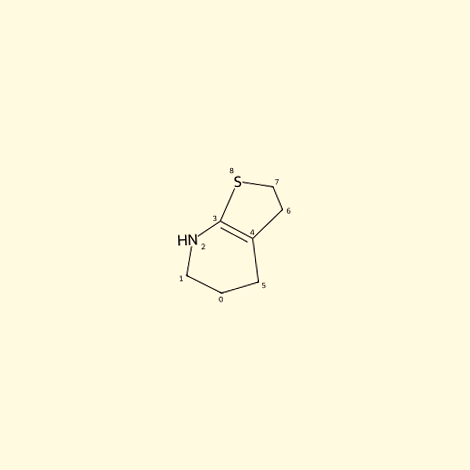 C1CNC2=C(C1)CCS2